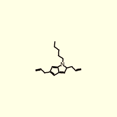 C=CCC1=CC2=CC(CC=C)N(CCCCC)C2=C1